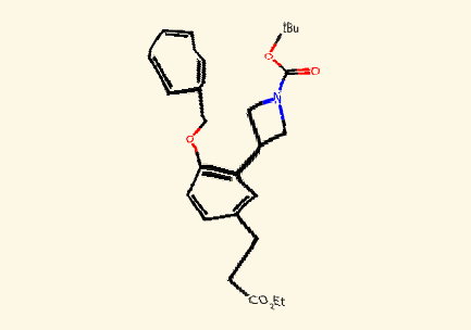 CCOC(=O)CCc1ccc(OCc2ccccc2)c(C2CN(C(=O)OC(C)(C)C)C2)c1